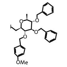 COc1ccc(CO[C@H]2[C@H](OCc3ccccc3)[C@@H](OCc3ccccc3)[C@H](C)O[C@@H]2CI)cc1